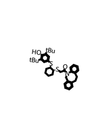 CC(C)(C)c1cc(S[C@@H]2CCCC[C@H]2SCC(=O)N2Cc3ccccc3CCc3ccccc32)cc(C(C)(C)C)c1O